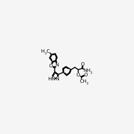 CC(=O)OC(Cc1ccc(-c2n[nH]cc2-c2nc3ccc(C)cc3o2)cc1)C(N)=O